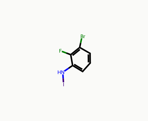 Fc1c(Br)cccc1NI